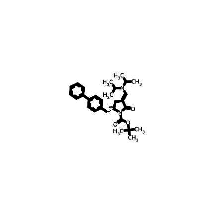 CC(C)N(C=C1C[C@@H](Cc2ccc(-c3ccccc3)cc2)N(C(=O)OC(C)(C)C)C1=O)C(C)C